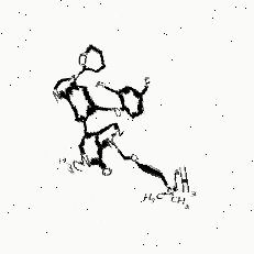 Cn1cc(-c2cc3ncn(C4CCCCO4)c3cc2Oc2ccc(F)cc2F)c2cnn(COCC[Si](C)(C)C)c2c1=O